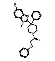 Cn1c(C2(c3ccccc3)CCN(C(=O)COc3ccccc3)CC2)nc2cc(F)ccc21